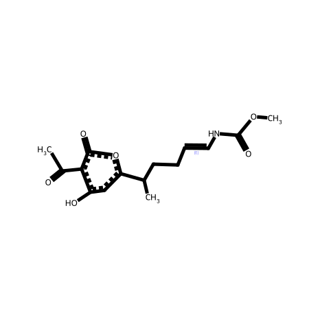 COC(=O)N/C=C/CCC(C)c1cc(O)c(C(C)=O)c(=O)o1